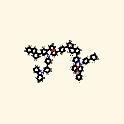 c1ccc(-c2ccc(N(c3ccc(-c4ccccc4)cc3)c3cc(-c4cccc5c4ccc4c(-c6ccc(-c7ccc(N(c8ccc(-c9cccc(-n%10c%11ccccc%11c%11ccccc%11%10)c9)cc8)c8cc(-c9cccc%10c9ccc9ccccc9%10)ccc8-c8ccccc8)cc7)cc6)cccc45)ccc3-c3ccccc3)cc2)cc1